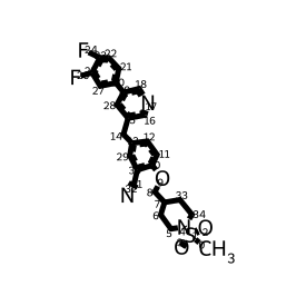 CS(=O)(=O)N1CCC(COc2ccc(Cc3cncc(-c4ccc(F)c(F)c4)c3)cc2C#N)CC1